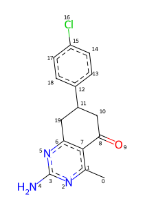 Cc1nc(N)nc2c1C(=O)CC(c1ccc(Cl)cc1)C2